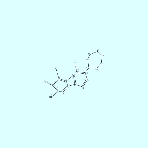 Oc1cc2c(c(F)c1F)-c1c-2ccc(C2CCCCCC2)c1F